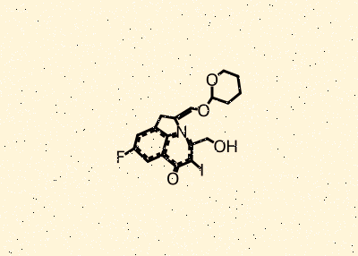 O=c1c(I)c(CO)n2c3c(cc(F)cc13)CC2=COC1CCCCO1